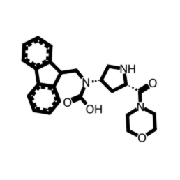 O=C([C@@H]1C[C@H](N(CC2c3ccccc3-c3ccccc32)C(=O)O)CN1)N1CCOCC1